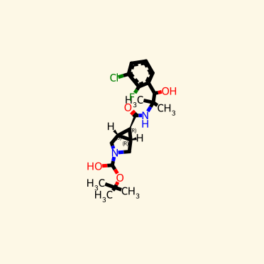 CC(C)(C)OC(O)N1C[C@@H]2[C@H](C1)[C@H]2C(=O)NC(C)(C)C(O)c1cccc(Cl)c1F